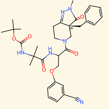 CN1N=C2CCN(C(=O)C(COc3cccc(C#N)c3)NC(=O)C(C)(C)NC(=O)OC(C)(C)C)C[C@@]2(Cc2ccccc2)C1=O